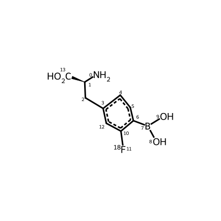 N[C@@H](Cc1ccc(B(O)O)c([18F])c1)C(=O)O